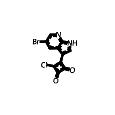 O=c1c(Cl)c(-c2c[nH]c3ncc(Br)cc23)c1=O